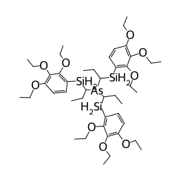 CCOc1ccc([SiH2]C(CC)[As](C(CC)[SiH2]c2ccc(OCC)c(OCC)c2OCC)C(CC)[SiH2]c2ccc(OCC)c(OCC)c2OCC)c(OCC)c1OCC